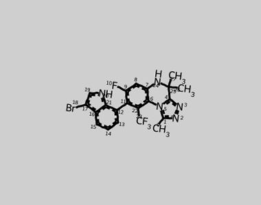 Cc1nnc2n1-c1c(cc(F)c(-c3cccc4c(Br)c[nH]c34)c1C(F)(F)F)NC2(C)C